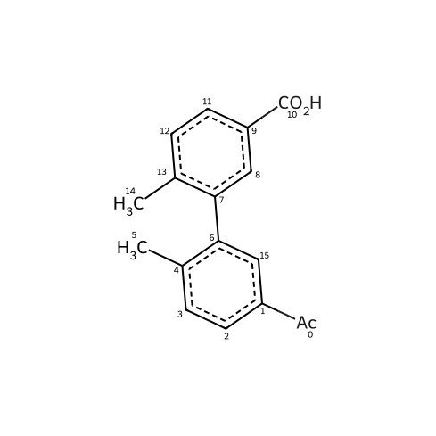 CC(=O)c1ccc(C)c(-c2cc(C(=O)O)ccc2C)c1